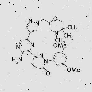 COc1cc(OC)cc(-n2nc(-c3nc(-c4cnn(CC5CN(C)C(C)(C)CO5)c4)cnc3N)ccc2=O)c1